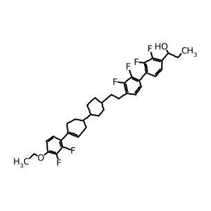 CCOc1ccc(C2=CCC(C3CCC(CCc4ccc(-c5ccc(C(O)CC)c(F)c5F)c(F)c4F)CC3)CC2)c(F)c1F